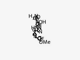 COc1cc(Cn2ccc(C(=O)c3cncnc3NC3C[C@H](COS(N)(=O)=O)[C@@H](O)[C@@H]3F)c2)ccc1F